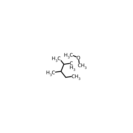 CCC(C)C(C)C.COC